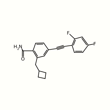 NC(=O)c1ccc(C#Cc2ccc(F)cc2F)cc1CC1CCC1